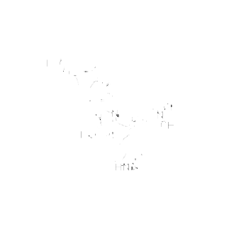 COc1ccc2c(c1)CC(c1nc(O)c3cc(-c4cn[nH]c4)cc(OCCN(C)C)c3n1)CO2